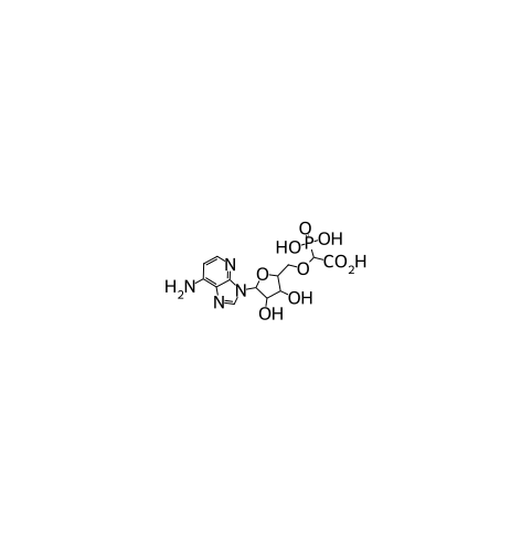 Nc1ccnc2c1ncn2C1OC(COC(C(=O)O)P(=O)(O)O)C(O)C1O